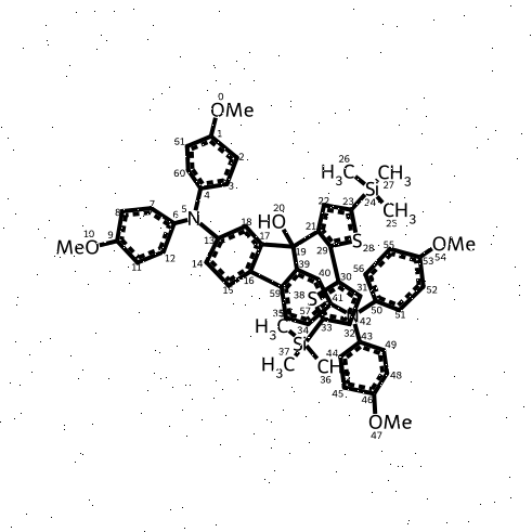 COc1ccc(N(c2ccc(OC)cc2)c2ccc3c(c2)C(O)(c2cc([Si](C)(C)C)sc2-c2ccc([Si](C)(C)C)s2)c2cc(N(c4ccc(OC)cc4)c4ccc(OC)cc4)ccc2-3)cc1